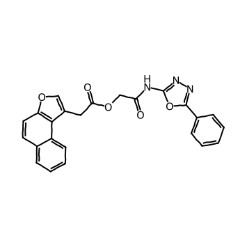 O=C(COC(=O)Cc1coc2ccc3ccccc3c12)Nc1nnc(-c2ccccc2)o1